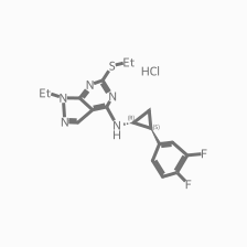 CCSc1nc(N[C@@H]2C[C@H]2c2ccc(F)c(F)c2)c2cnn(CC)c2n1.Cl